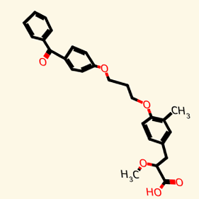 COC(Cc1ccc(OCCCOc2ccc(C(=O)c3ccccc3)cc2)c(C)c1)C(=O)O